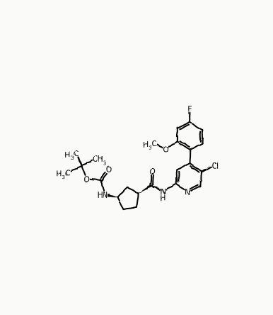 COc1cc(F)ccc1-c1cc(NC(=O)[C@H]2CC[C@@H](NC(=O)OC(C)(C)C)C2)ncc1Cl